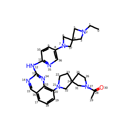 CCN1CC2(C1)CN(c1ccc(Nc3ncc4cccc(N5CCC6(CCN(C(C)=O)C6)C5)c4n3)nc1)C2